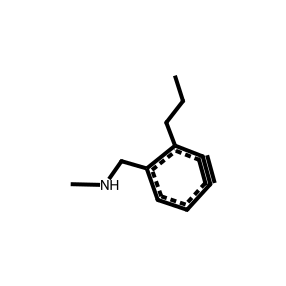 CCCc1c#cccc1CNC